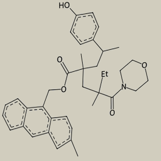 CCC(C)(CC(C)(CC(C)c1ccc(O)cc1)C(=O)OCc1c2ccccc2cc2cc(C)ccc12)C(=O)N1CCOCC1